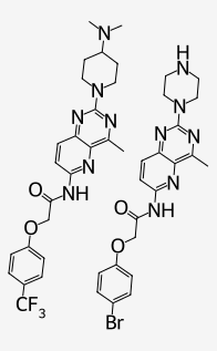 Cc1nc(N2CCC(N(C)C)CC2)nc2ccc(NC(=O)COc3ccc(C(F)(F)F)cc3)nc12.Cc1nc(N2CCNCC2)nc2ccc(NC(=O)COc3ccc(Br)cc3)nc12